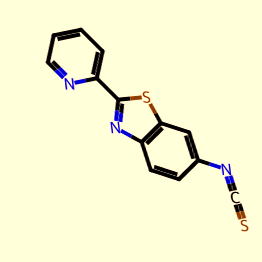 S=C=Nc1ccc2nc(-c3ccccn3)sc2c1